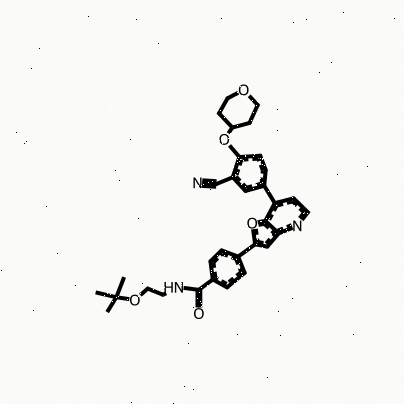 CC(C)(C)OCCNC(=O)c1ccc(-c2cc3nccc(-c4ccc(OC5CCOCC5)c(C#N)c4)c3o2)cc1